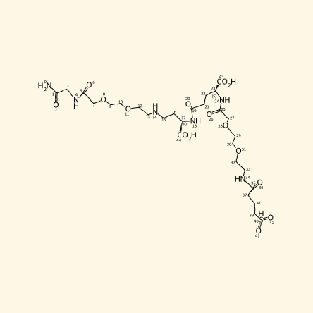 NC(=O)CNC(=O)COCCOCCNCC[C@@H](NC(=O)CC[C@H](NC(=O)COCCOCCNC(=O)CCC[SH](=O)=O)C(=O)O)C(=O)O